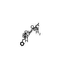 CC(C)C[C@H](N)C(=O)NCCCC[C@H](NC(=O)CCc1ccccc1)C(=O)O